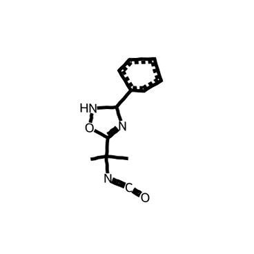 CC(C)(N=C=O)C1=NC(c2ccccc2)NO1